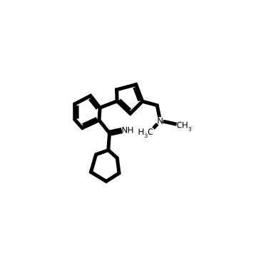 CN(C)CC1=CCC(c2ccccc2C(=N)C2CCCCC2)=C1